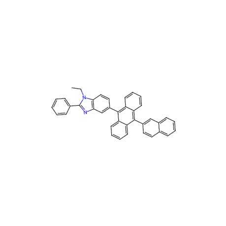 CCn1c(-c2ccccc2)nc2cc(-c3c4ccccc4c(-c4ccc5ccccc5c4)c4ccccc34)ccc21